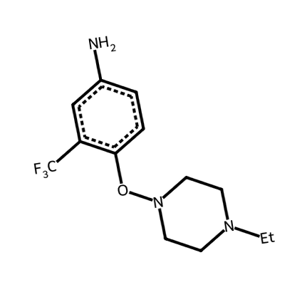 CCN1CCN(Oc2ccc(N)cc2C(F)(F)F)CC1